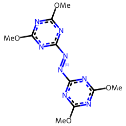 COc1nc(/N=N/c2nc(OC)nc(OC)n2)nc(OC)n1